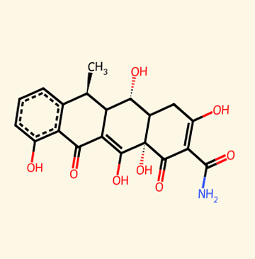 C[C@@H]1c2cccc(O)c2C(=O)C2=C(O)[C@]3(O)C(=O)C(C(N)=O)=C(O)CC3[C@@H](O)C21